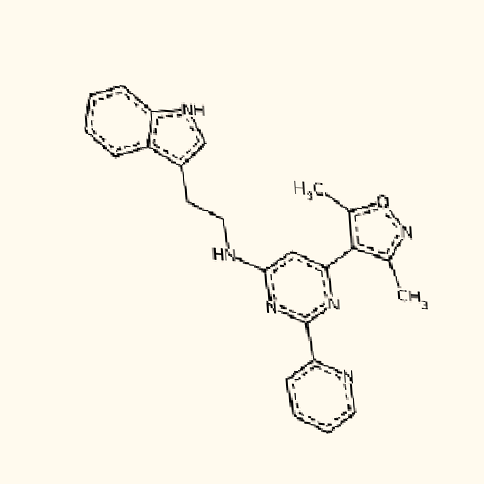 Cc1noc(C)c1-c1cc(NCCc2c[nH]c3ccccc23)nc(-c2ccccn2)n1